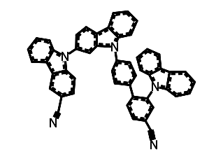 N#Cc1ccc(-c2ccc(-n3c4ccccc4c4ccc(-n5c6ccccc6c6cc(C#N)ccc65)cc43)cc2)c(-n2c3ccccc3c3ccccc32)c1